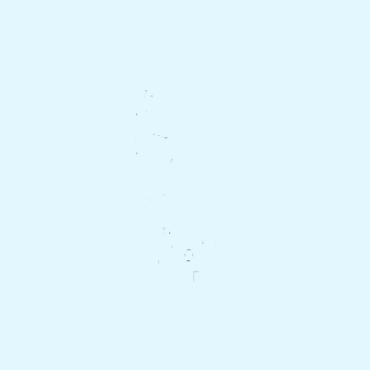 CC(C)(C)OC(=O)NC(CN=C=S)OC(=O)c1ccc(S(N)(=O)=O)cc1